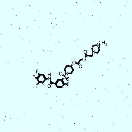 CN1CCN(CC(=O)OCC(=O)OC2CCN(S(=O)(=O)c3cc(C(=O)Nc4cc(F)c(F)c(F)c4)ccc3F)CC2)CC1